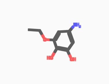 CCOc1cc(N)cc(O)c1O